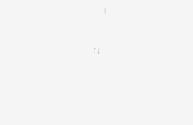 CC(C)(I)n1c2ccccc2c2ccccc21